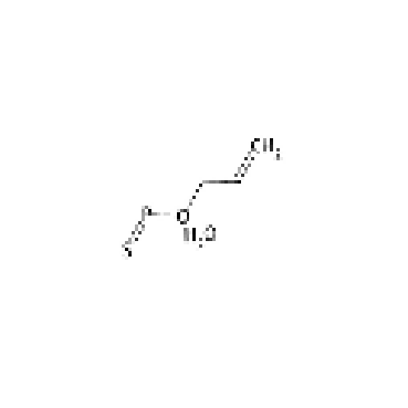 C=CCOP=S.O